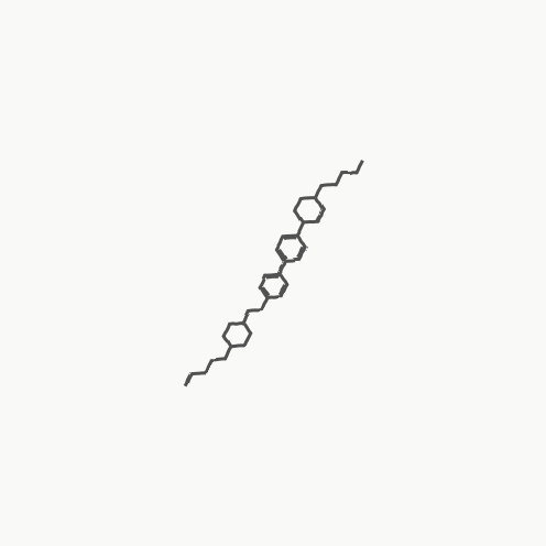 CCCCCC1CCC(CCc2ccc(-c3ccc(C4CCC(CCCCC)CC4)cc3)cc2)CC1